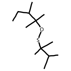 CCC(C)C(C)(C)OSC(C)(C)C(C)C